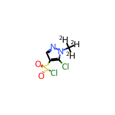 [2H]C([2H])([2H])n1ncc(S(=O)(=O)Cl)c1Cl